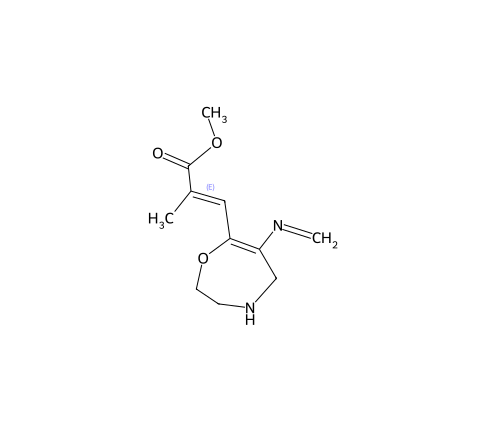 C=NC1=C(/C=C(\C)C(=O)OC)OCCNC1